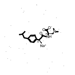 CC(C)Cc1ccc([C@H](C)C(=O)N[C@H](CN(C)C)C(=O)[O-])cc1.[Na+]